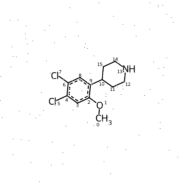 COc1cc(Cl)c(Cl)cc1C1CCNCC1